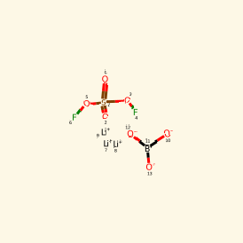 O=S(=O)(OF)OF.[Li+].[Li+].[Li+].[O-]B([O-])[O-]